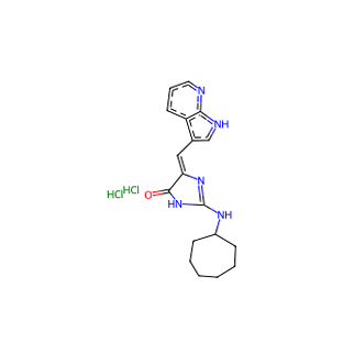 Cl.Cl.O=C1NC(NC2CCCCCC2)=NC1=Cc1c[nH]c2ncccc12